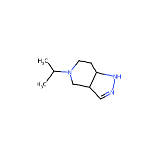 CC(C)N1CCC2NN=CC2C1